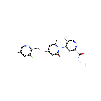 CNC(=O)c1cc(-n2c(C)cc(OCc3ncc(F)cc3F)cc2=O)c(C)cn1